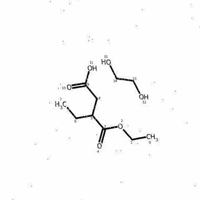 CCOC(=O)C(CC)CC(=O)O.OCCO